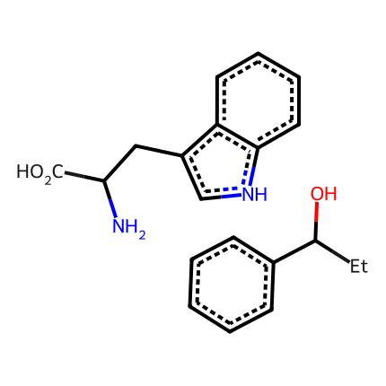 CCC(O)c1ccccc1.NC(Cc1c[nH]c2ccccc12)C(=O)O